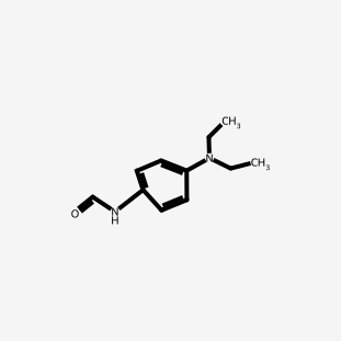 CCN(CC)c1ccc(NC=O)cc1